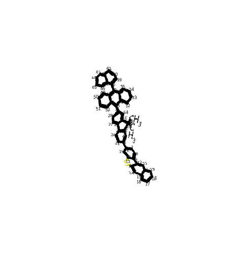 CC1(C)c2cc(-c3ccc4c(c3)sc3cc5ccccc5cc34)ccc2-c2ccc(-c3c4ccccc4c(-c4cccc5ccccc45)c4ccccc34)cc21